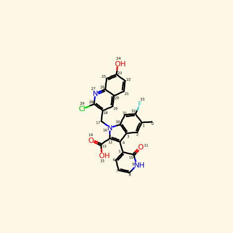 Cc1cc2c(-c3ccc[nH]c3=O)c(C(=O)O)n(Cc3cc4ccc(O)cc4nc3Cl)c2cc1F